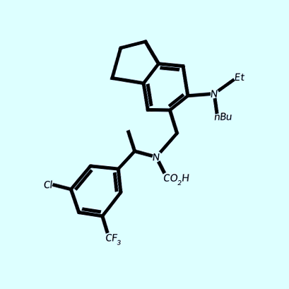 CCCCN(CC)c1cc2c(cc1CN(C(=O)O)C(C)c1cc(Cl)cc(C(F)(F)F)c1)CCC2